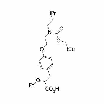 CCOC(Cc1ccc(OCCN(CCC(C)C)C(=O)OCC(C)(C)C)cc1)C(=O)O